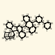 c1ccc(-c2cccc(-c3c4ccccc4c(-c4cc5c(c6ccccc46)C4(c6ccccc6-5)C5CC6CC(C5)CC4C6)c4ccccc34)c2)cc1